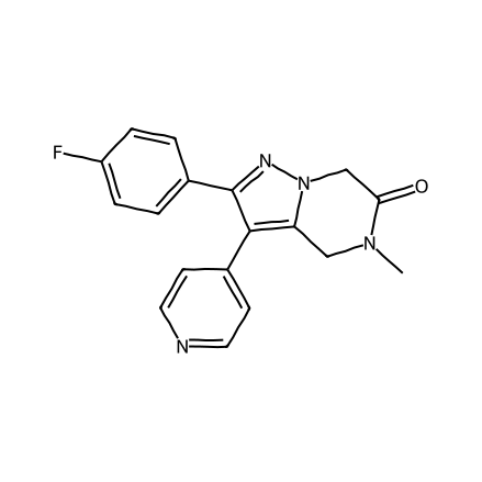 CN1Cc2c(-c3ccncc3)c(-c3ccc(F)cc3)nn2CC1=O